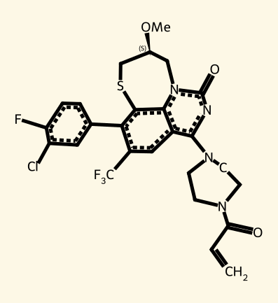 C=CC(=O)N1CCN(c2nc(=O)n3c4c(c(-c5ccc(F)c(Cl)c5)c(C(F)(F)F)cc24)SC[C@@H](OC)C3)CC1